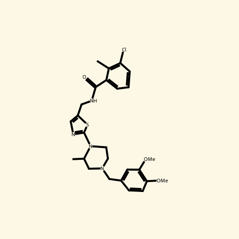 COc1ccc(CN2CCN(c3ncc(CNC(=O)c4cccc(Cl)c4C)s3)C(C)C2)cc1OC